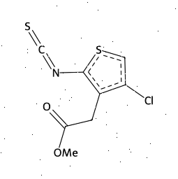 COC(=O)Cc1c(Cl)csc1N=C=S